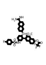 N=C(N)c1ccc2cc(Oc3ccc(NS(=O)(=O)c4ccc(F)cc4)cc3-c3cc4ccccc4cc3C(=O)O)ccc2c1.O=C(O)C(F)(F)F